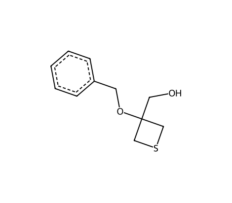 OCC1(OCc2ccccc2)CSC1